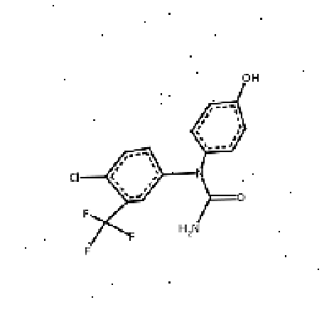 NC(=O)N(c1ccc(O)cc1)c1ccc(Cl)c(C(F)(F)F)c1